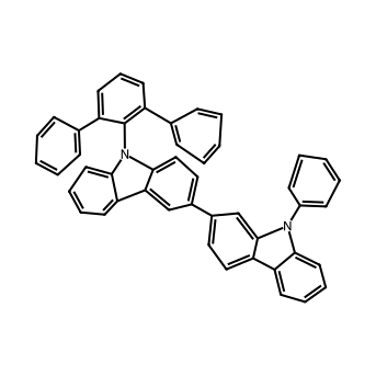 c1ccc(-c2cccc(-c3ccccc3)c2-n2c3ccccc3c3cc(-c4ccc5c6ccccc6n(-c6ccccc6)c5c4)ccc32)cc1